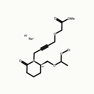 CCOC(C)OC[C@H]1CCCC(=O)N1CC#CCOCC(=O)OC.[H-].[Na+]